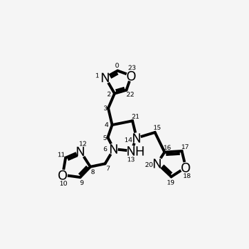 c1nc(CC2CN(Cc3cocn3)NN(Cc3cocn3)C2)co1